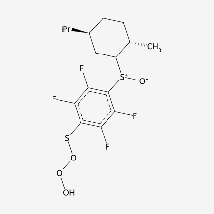 CC(C)[C@H]1CC[C@H](C)C([S+]([O-])c2c(F)c(F)c(SOOO)c(F)c2F)C1